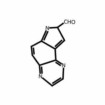 O=CC1C=c2c(ccc3nccnc23)=N1